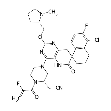 C=C(F)C(=O)N1CCN(c2nc(OC[C@@H]3CCCN3C)nc3c2NC(=O)C2(CCCc4c2ccc(F)c4Cl)C3)C[C@@H]1CC#N